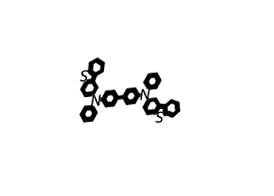 C1=CCc2c3c(sc2=C1)=CC=C(N(c1ccccc1)c1ccc(-c2ccc(N(C4=CC=c5sc6c(c5C4)CC=CC=6)c4ccccc4)cc2)cc1)C3